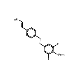 CCCC=Cc1ccc(CCc2cc(F)c(CCCCC)c(F)c2)cc1